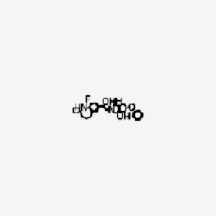 O=C1CCCc2cc(C(O)CN3C[C@H]4C[C@H](Oc5ccccc5)C[C@@]4(O)C3)cc(F)c2N1